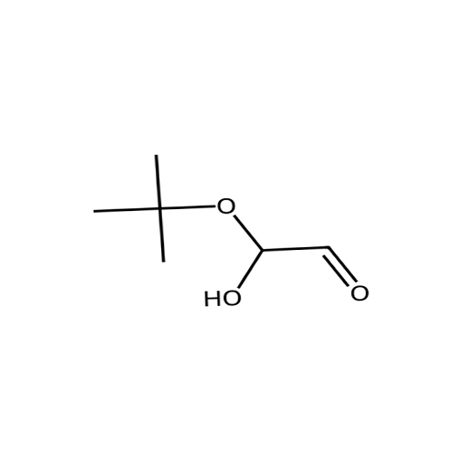 CC(C)(C)OC(O)C=O